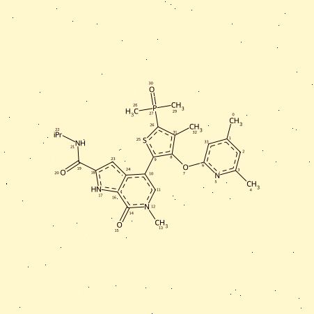 Cc1cc(C)nc(Oc2c(-c3cn(C)c(=O)c4[nH]c(C(=O)NC(C)C)cc34)sc(P(C)(C)=O)c2C)c1